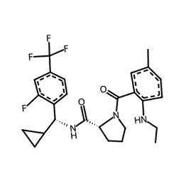 CCNc1ccc(C)cc1C(=O)N1CCC[C@@H]1C(=O)N[C@@H](c1ccc(C(F)(F)F)cc1F)C1CC1